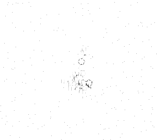 COC(=O)c1ccc(CC2CCC(C(O[Si](C)(C)C(C)(C)C)c3cccnc3)N2C(=O)OC(C)(C)C)cc1